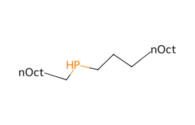 CCCCCCCCCCCPCCCCCCCCC